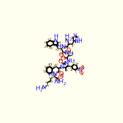 Cc1c(-c2ccc([N+](=O)[O-])cc2)n(NC(=O)[C@H](C)NC(=O)[C@@H](Cc2c[nH]c3ccccc23)NC(=O)[C@@H](N)Cc2cnc[nH]2)c(=O)n1C(Cc1ccccc1)C(=O)N[C@@H](CCCCN)C(N)=O